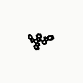 c1ccc2c(c1)sc1c(-n3c4ccccc4c4c5c6ccccc6sc5c5c6cccnc6sc5c43)cccc12